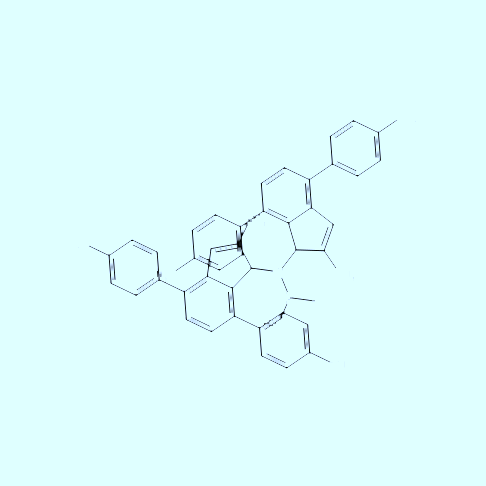 CC1=Cc2c(-c3ccc(C)cc3)ccc(-c3ccc(C)cc3)c2[CH]1[Zr]([CH]1C(C)=Cc2c(-c3ccc(C)cc3)ccc(-c3ccc(C)cc3)c21)[SiH](C)C